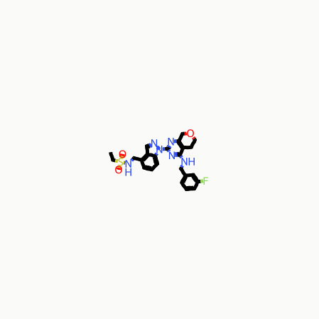 CCS(=O)(=O)NCc1cccc2c1cnn2-c1nc2c(c(NCc3cccc(F)c3)n1)CCOC2